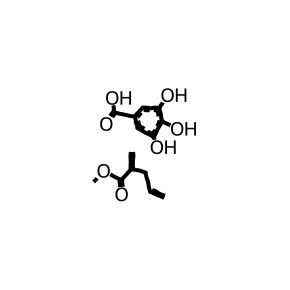 C=CCC(=C)C(=O)OC.O=C(O)c1cc(O)c(O)c(O)c1